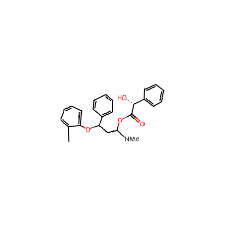 CNC(CC(Oc1ccccc1C)c1ccccc1)OC(=O)[C@H](O)c1ccccc1